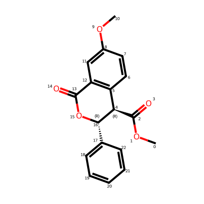 COC(=O)[C@@H]1c2ccc(OC)cc2C(=O)O[C@H]1c1ccccc1